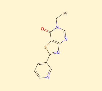 CC(C)Cn1cnc2nc(-c3cccnc3)sc2c1=O